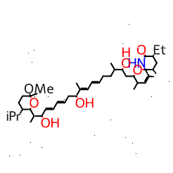 CCC1CC(C)C2(NC1=O)OC(CC(O)C(C)CC/C=C/C=C(\C)C(O)C/C=C/C=C/C(O)C(C)C1OC(C)(OC)CCC1C(C)C)C(C)C=C2C